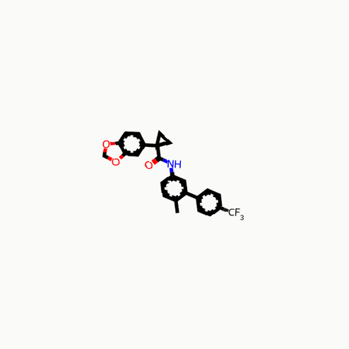 Cc1ccc(NC(=O)C2(c3ccc4c(c3)OCO4)CC2)cc1-c1ccc(C(F)(F)F)cc1